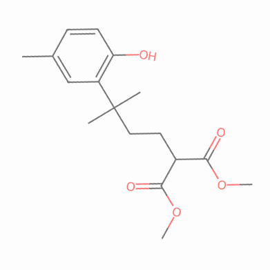 COC(=O)C(CCC(C)(C)c1cc(C)ccc1O)C(=O)OC